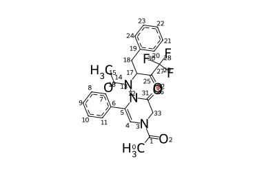 CC(=O)N1C=C(c2ccccc2)N(N(C(C)=O)C(Cc2ccccc2)C(=O)C(F)(F)F)C(=O)C1